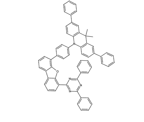 CC1(C)c2cc(-c3ccccc3)ccc2N(c2ccc(-c3cccc4c3oc3c(-c5nc(-c6ccccc6)nc(-c6ccccc6)n5)cccc34)cc2)c2ccc(-c3ccccc3)cc21